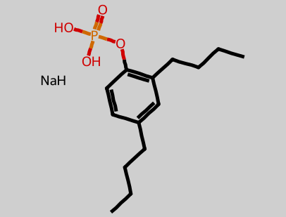 CCCCc1ccc(OP(=O)(O)O)c(CCCC)c1.[NaH]